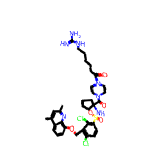 Cc1cc(C)c2cccc(OCc3c(Cl)ccc(S(=O)(=O)NC4(C(=O)N5CCN(C(=O)CCCCCNC(=N)N)CC5)CCCC4)c3Cl)c2n1